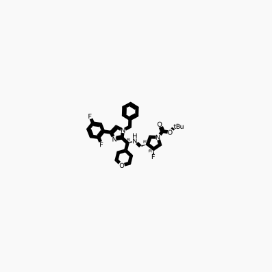 CC(C)(C)OC(=O)N1C[C@@H](CN[C@@H](c2nc(-c3cc(F)ccc3F)cn2Cc2ccccc2)C2CCOCC2)[C@@H](F)C1